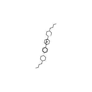 CCCC[C@H]1CC[C@H](c2ccc(C34CCC([C@H]5CC[C@H](CCCC)CC5)(CC3)CC4)cc2)CC1